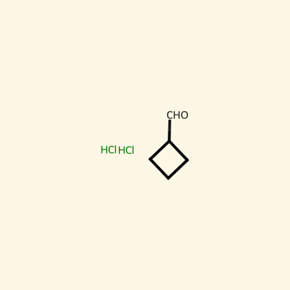 Cl.Cl.O=CC1CCC1